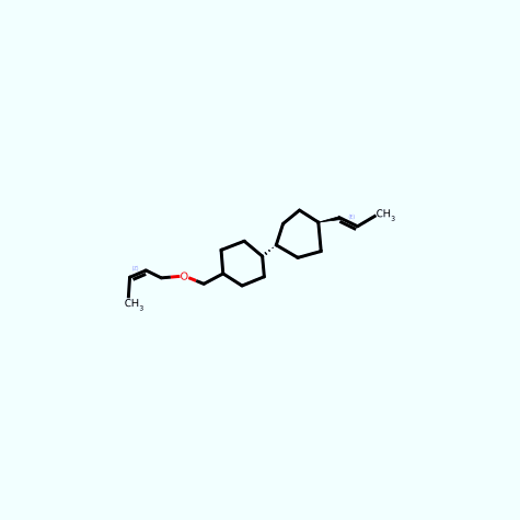 C/C=C\COCC1CCC([C@H]2CC[C@H](/C=C/C)CC2)CC1